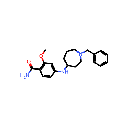 COc1cc(NC2CCCN(Cc3ccccc3)CC2)ccc1C(N)=O